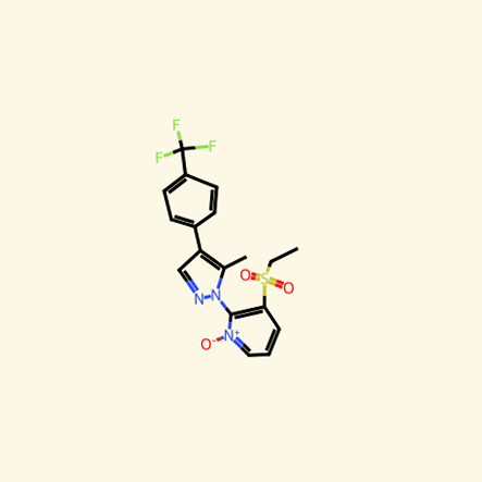 CCS(=O)(=O)c1ccc[n+]([O-])c1-n1ncc(-c2ccc(C(F)(F)F)cc2)c1C